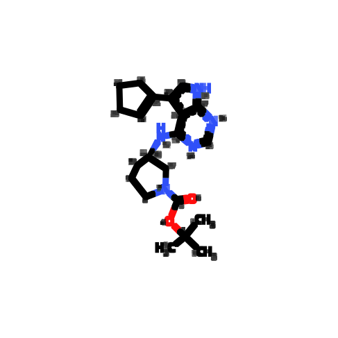 CC(C)(C)OC(=O)N1CCC[C@@H](Nc2ncnc3[nH]cc(C4=CCCC4)c23)C1